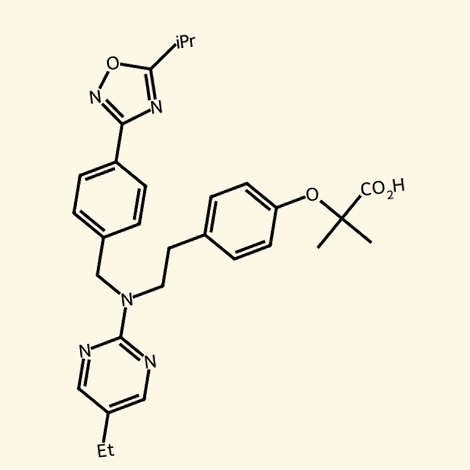 CCc1cnc(N(CCc2ccc(OC(C)(C)C(=O)O)cc2)Cc2ccc(-c3noc(C(C)C)n3)cc2)nc1